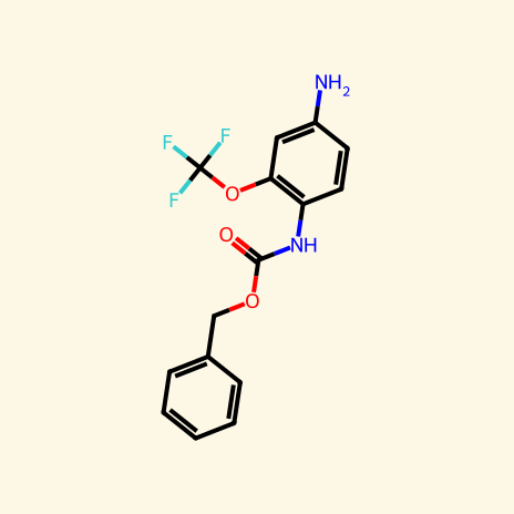 Nc1ccc(NC(=O)OCc2ccccc2)c(OC(F)(F)F)c1